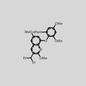 CCCCCc1cc(OC)cc(OC)c1Oc1cc(OC)cc2cc(C(CC)CC)c(OC)nc12